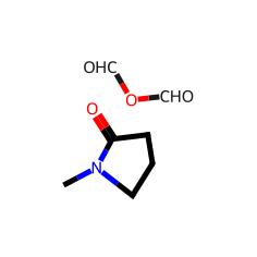 CN1CCCC1=O.O=COC=O